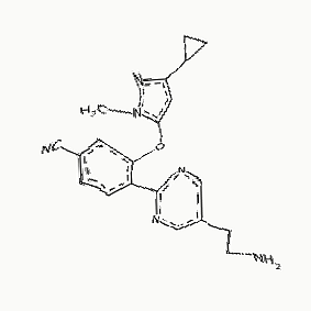 Cn1nc(C2CC2)cc1Oc1cc(C#N)ccc1-c1ncc(CCN)cn1